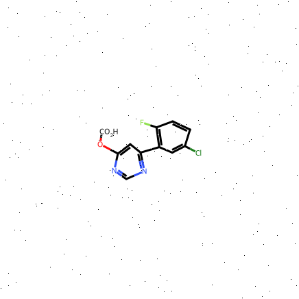 O=C(O)Oc1cc(-c2cc(Cl)ccc2F)ncn1